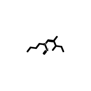 C=NN(/C=C(/C)C(C)CC)CCCC